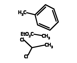 CC(Cl)Cl.CCOC(C)=O.Cc1ccccc1